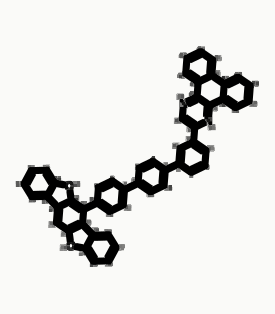 c1cc(-c2ccc(-c3ccc(-c4c5oc6ccccc6c5cc5oc6ccccc6c45)cc3)cc2)cc(-c2cnc3c4ccccc4c4ccccc4c3n2)c1